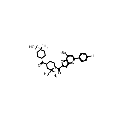 CC(C)(C)c1cc(-c2ccc(Cl)cc2)nc2cc(C(=O)N3CCC(C(=O)[C@H]4CC[C@@](C)(C(=O)O)CC4)CC3(C)C)oc12